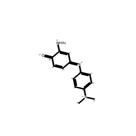 CC(=O)NC1=CC(=Nc2ccc(N(C)C)cc2)C=CC1=O